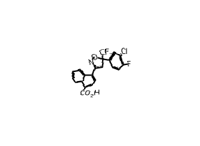 O=C(O)c1ccc(C2=NOC(c3ccc(F)c(Cl)c3)(C(F)(F)F)C2)c2ccccc12